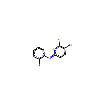 CCc1ccccc1N=c1ccc(CC)c(C(C)=O)[nH]1